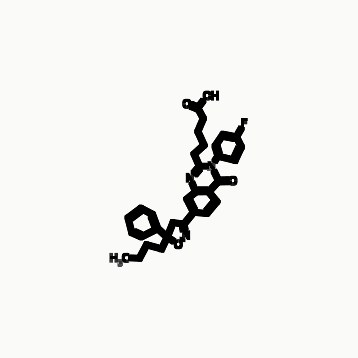 CCCCC1(c2ccccc2)CC(c2ccc3c(=O)n(-c4ccc(F)cc4)c(CCCCC(=O)O)nc3c2)=NO1